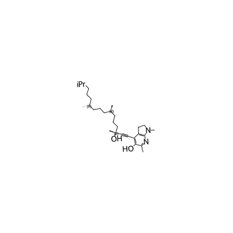 Cc1nc2c(c(C#C[C@](C)(O)CCC[C@H](C)CCC[C@H](C)CCCC(C)C)c1O)CCN2C